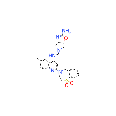 Cc1ccc2nc(N3CCS(=O)(=O)c4ccccc4C3)cc(NCN3CC4N=C(N)OC4C3)c2c1